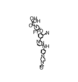 N#Cc1cc(-c2nccc(Nc3ccc(N4CCN(C5COC5)CC4)cc3)n2)ccc1O[C@H]1CCN(C(=O)[C@H](O)CO)CC1(F)F